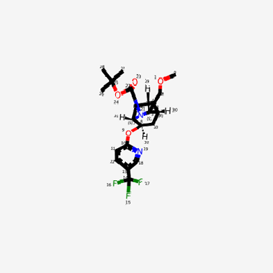 COC[C@@H]1[C@@H]2CC[C@@H]([C@H](Oc3ccc(C(F)(F)F)cn3)C2)N1C(=O)OC(C)(C)C